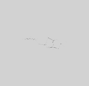 CC1(C)Cc2cc(CN=[N+]=[N-])nn2C1